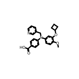 COc1ccc(N(Cc2cccnc2)c2ccc(C(=O)O)cc2)cc1OC1CCC1